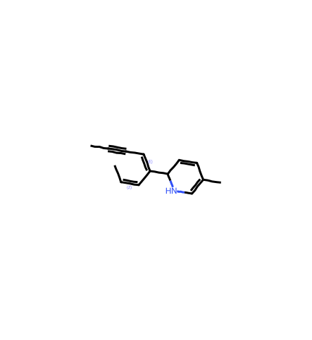 CC#C/C=C(\C=C/C)C1C=CC(C)=CN1